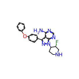 Nc1ncnc2c1c(-c1ccc(Oc3ccccc3)cc1)nn2C1CCNC[C@@H]1F